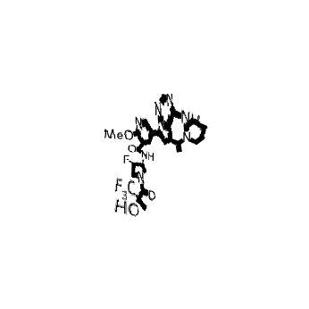 COc1ncc(-c2cc(C(C)N3CCCCC3)c3c(N)ncnn23)cc1C(=O)N[C@@H]1CN(C(=O)[C@](C)(O)C(F)(F)F)C[C@@H]1F